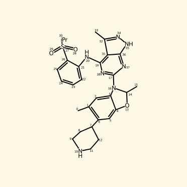 Cc1cc2c(cc1C1CCNCC1)OC(C)N2c1nc(Nc2ccccc2S(=O)(=O)C(C)C)c2c(C)n[nH]c2n1